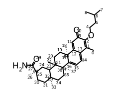 CC1=C(OCCC(C)C)C(=O)C=C2C1=CC=C1[C@@]2(C)CC[C@@]2(C)C3C[C@](C)(C(N)=O)CC[C@]3(C)CC[C@]12C